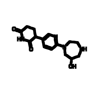 O=C1CCC(c2ccc(N3CCNCC(O)C3)nc2)C(=O)N1